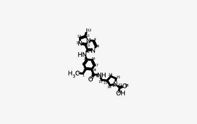 CCc1cc(Nc2nccn3c(I)cnc23)ccc1C(=O)NCC1CCN(C(=O)O)C1